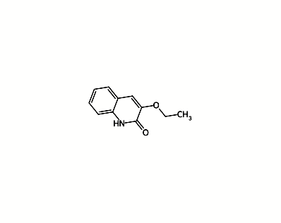 CCOc1cc2ccccc2[nH]c1=O